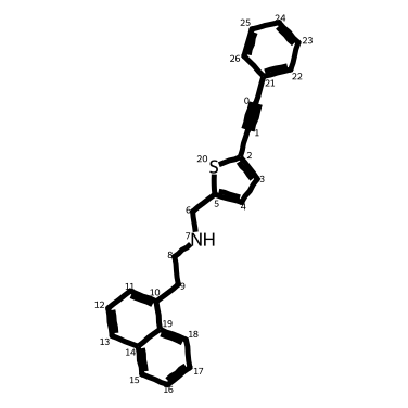 C(#Cc1ccc(CNCCc2cccc3ccccc23)s1)c1ccccc1